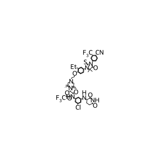 CCc1cc(N2C(=S)N(c3ccc(C#N)c(C(F)(F)F)c3)C(=O)C2(C)C)ccc1OCCN1C[C@@H](C)N(C(OC(=O)C(F)(F)F)C(=O)Nc2cc(Cl)cc(NC3CCC(=O)NC3=O)c2)[C@H](C)C1